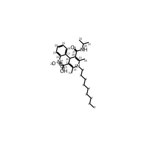 CCCCCCCCCN1C(C)=C(C(=O)O)C(c2ccccc2[N+](=O)[O-])C(C(=O)NC(C)C)=C1C